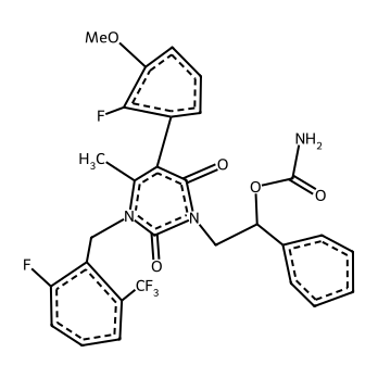 COc1cccc(-c2c(C)n(Cc3c(F)cccc3C(F)(F)F)c(=O)n(CC(OC(N)=O)c3ccccc3)c2=O)c1F